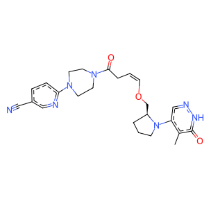 Cc1c(N2CCC[C@H]2CO/C=C\CC(=O)N2CCN(c3ccc(C#N)cn3)CC2)cn[nH]c1=O